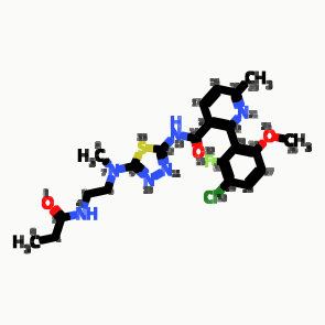 CCC(=O)NCCN(C)c1nnc(NC(=O)c2ccc(C)nc2-c2c(OC)ccc(Cl)c2F)s1